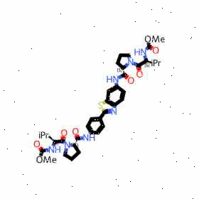 COC(=O)N[C@H](C(=O)N1CCC[C@H]1C(=O)Nc1ccc(-c2nc3ccc(NC(=O)[C@@H]4CCCN4C(=O)[C@@H](NC(=O)OC)C(C)C)cc3s2)cc1)C(C)C